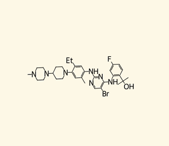 CCc1cc(Nc2ncc(Br)c(Nc3cc(F)ccc3C(C)(C)O)n2)c(C)cc1N1CCC(N2CCN(C)CC2)CC1